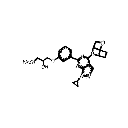 CNCC(O)COc1cccc(-c2nc(N3C4CCC45OCC35)c3cnn(C4CC4)c3n2)c1